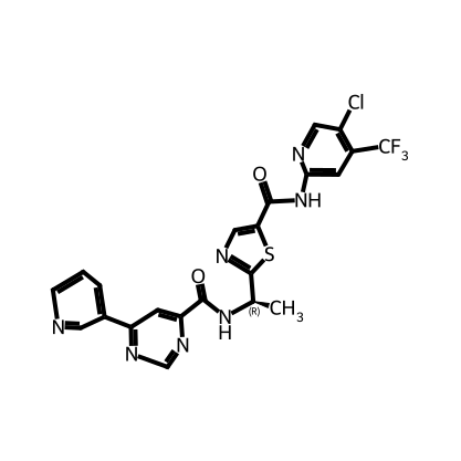 C[C@@H](NC(=O)c1cc(-c2cccnc2)ncn1)c1ncc(C(=O)Nc2cc(C(F)(F)F)c(Cl)cn2)s1